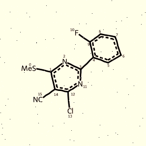 CSc1nc(-c2ccccc2F)nc(Cl)c1C#N